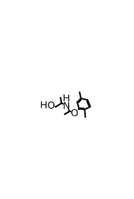 Cc1ccc(C)c(OC(C)NC(C)CO)c1